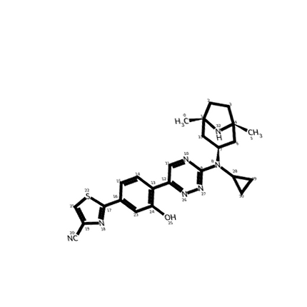 C[C@]12CC[C@](C)(C[C@@H](N(c3ncc(-c4ccc(-c5nc(C#N)cs5)cc4O)nn3)C3CC3)C1)N2